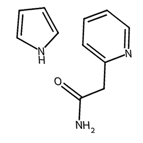 NC(=O)Cc1ccccn1.c1cc[nH]c1